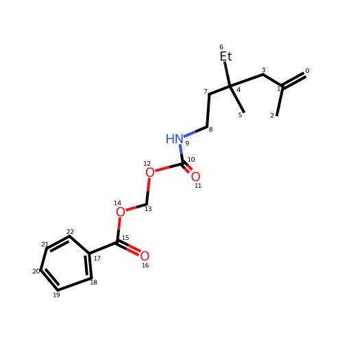 C=C(C)CC(C)(CC)CCNC(=O)OCOC(=O)c1ccccc1